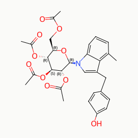 CC(=O)OC[C@H]1O[C@@H](n2cc(Cc3ccc(O)cc3)c3c(C)cccc32)[C@H](OC(C)=O)[C@@H](OC(C)=O)[C@@H]1OC(C)=O